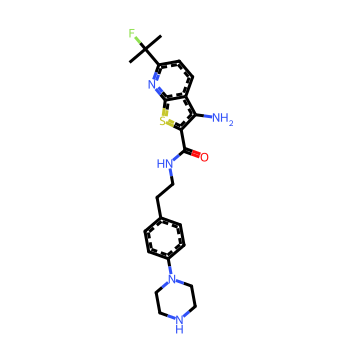 CC(C)(F)c1ccc2c(N)c(C(=O)NCCc3ccc(N4CCNCC4)cc3)sc2n1